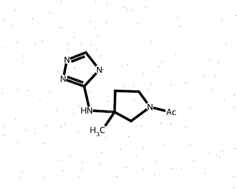 CC(=O)N1CCC(C)(NC2=NN=C[N]2)C1